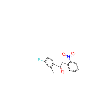 Cc1cc(F)ccc1C(=O)Cc1ccccc1[N+](=O)[O-]